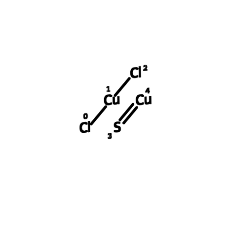 [Cl][Cu][Cl].[S]=[Cu]